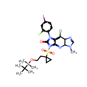 CN1C=NC2C(Cl)=c3c(n(S(=O)(=O)C4(CCO[Si](C)(C)C(C)(C)C)CC4)c(=O)n3-c3ccc(I)cc3F)=NC21